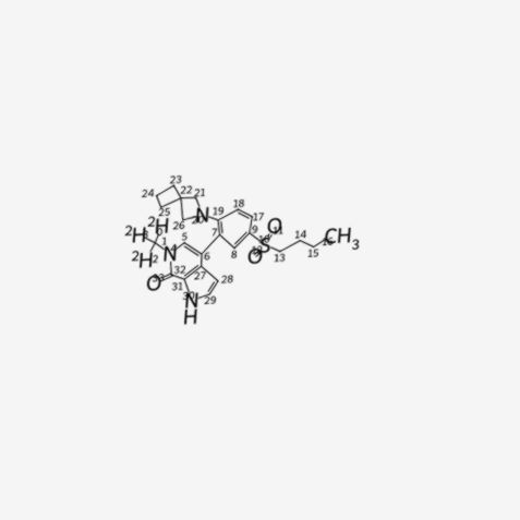 [2H]C([2H])([2H])n1cc(-c2cc(S(=O)(=O)CCCC)ccc2N2CC3(CCC3)C2)c2cc[nH]c2c1=O